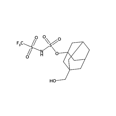 O=S(=O)(NS(=O)(=O)C(F)(F)F)OC12CC3CC(CC(CO)(C3)C1)C2